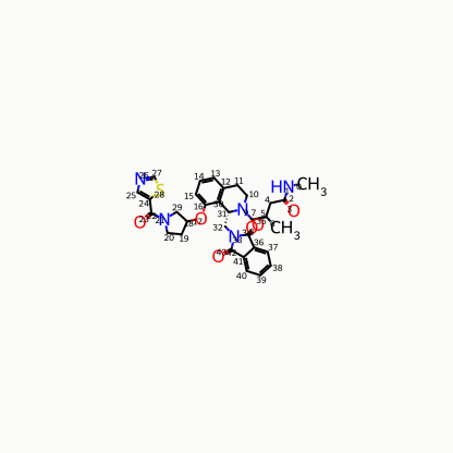 CNC(=O)CC(C)C(=O)N1CCc2cccc(OC3CCN(C(=O)c4cncs4)C3)c2[C@H]1CN1C(=O)c2ccccc2C1=O